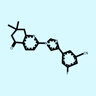 CC1(C)CC(=O)c2ccc(-n3cnc(-c4cc(F)cc(C#N)c4)c3)nc2C1